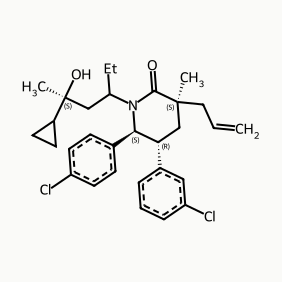 C=CC[C@@]1(C)C[C@H](c2cccc(Cl)c2)[C@@H](c2ccc(Cl)cc2)N(C(CC)C[C@](C)(O)C2CC2)C1=O